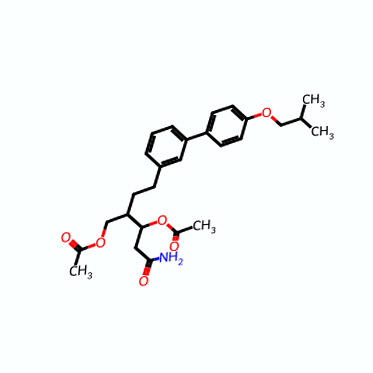 CC(=O)OCC(CCc1cccc(-c2ccc(OCC(C)C)cc2)c1)C(CC(N)=O)OC(C)=O